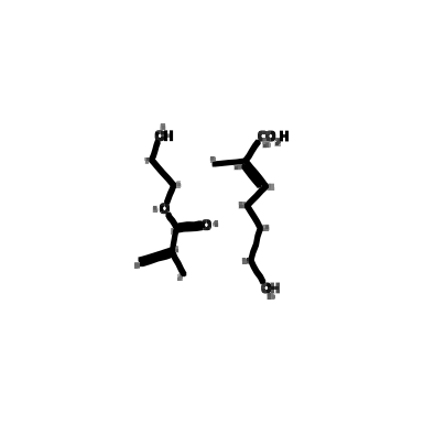 C=C(C)C(=O)OCCO.CC(=CCCCO)C(=O)O